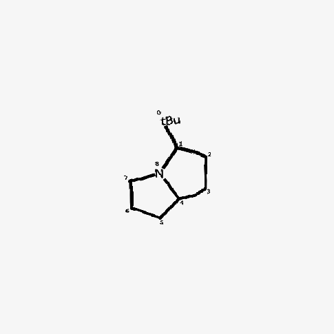 CC(C)(C)C1CCC2CCCN21